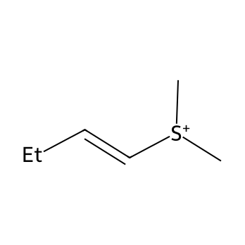 CCC=C[S+](C)C